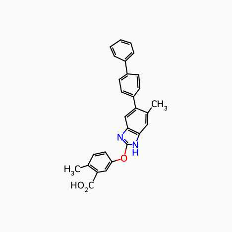 Cc1ccc(Oc2nc3cc(-c4ccc(-c5ccccc5)cc4)c(C)cc3[nH]2)cc1C(=O)O